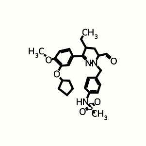 CCC1CC(C=O)N(Cc2ccc(NS(C)(=O)=O)cc2)N=C1c1ccc(OC)c(OC2CCCC2)c1